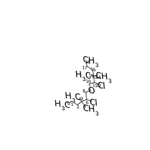 CCCC(C)(C)C(Cl)COCC(Cl)C(C)(C)CCC